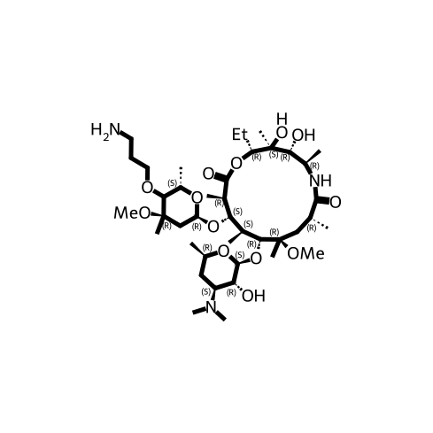 CC[C@H]1OC(=O)[C@H](C)[C@@H](O[C@H]2C[C@@](C)(OC)C(OCCCN)[C@H](C)O2)[C@H](C)[C@@H](O[C@@H]2O[C@H](C)C[C@H](N(C)C)[C@H]2O)[C@](C)(OC)C[C@@H](C)C(=O)N[C@H](C)[C@@H](O)[C@]1(C)O